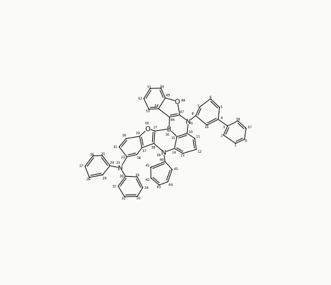 c1ccc(-c2cccc(N3c4cccc5c4B(c4oc6ccc(N(c7ccccc7)c7ccccc7)cc6c4N5c4ccccc4)c4c3oc3ccccc43)c2)cc1